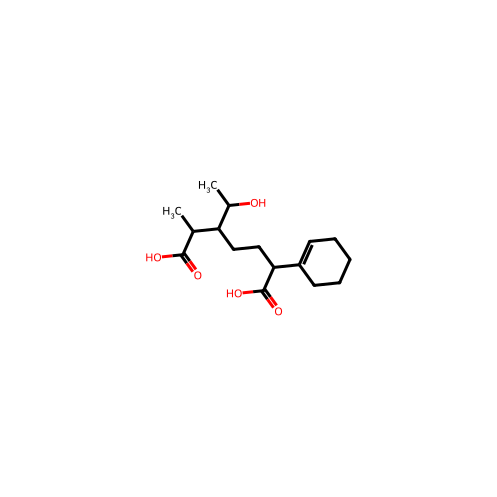 CC(O)C(CCC(C(=O)O)C1=CCCCC1)C(C)C(=O)O